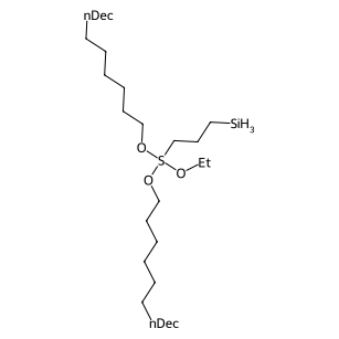 CCCCCCCCCCCCCCCCOS(CCC[SiH3])(OCC)OCCCCCCCCCCCCCCCC